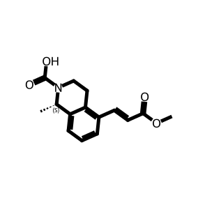 COC(=O)C=Cc1cccc2c1CCN(C(=O)O)[C@H]2C